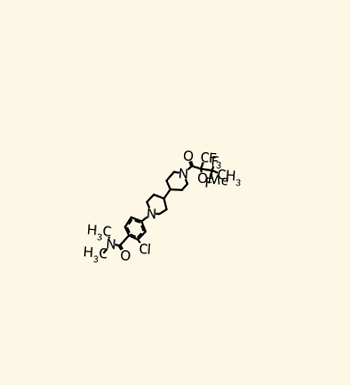 COC(C(=O)N1CCC(C2CCN(c3ccc(C(=O)N(C)C)c(Cl)c3)CC2)CC1)(C(C)(F)F)C(F)(F)F